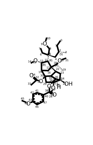 CC[C@H](C)C[C@@](CC)(COC)[C@H]1[C@@H](OC)C2C[C@]1([C@@H](C)OC)C1C[C@]3(O)[C@@H](OC)C[C@@]2(OC(C)=O)C1[C@@H]3OC(=O)c1ccc(OC)cc1